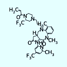 C=CC(=O)N1CCN(CCCN2C[C@H]3CC(=O)N(c4cc(C(F)(F)F)cc(C)n4)[C@@H]3C(=O)N(C)c3cccc(C)c32)C[C@@H]1C(F)(F)F